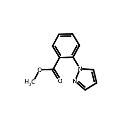 COC(=O)c1ccccc1-n1cccn1